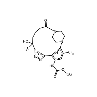 CC(C)(C)OC(=O)Nc1cc(C(F)(F)F)c2nc1-c1nnc(o1)C(O)(C(F)(F)F)CCCC(=O)N1CCN2CC1